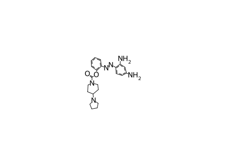 Nc1ccc(/N=N/c2ccccc2OC(=O)N2CCC(N3CCCC3)CC2)c(N)c1